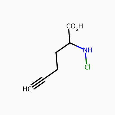 C#CCCC(NCl)C(=O)O